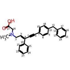 CN(C/C=C(/C#Cc1ccc(Cc2ccccc2)cc1)c1ccccc1)CC(=O)O